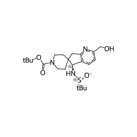 CC(C)(C)OC(=O)N1CCC2(CC1)Cc1nc(CO)ccc1[C@H]2N[S@+]([O-])C(C)(C)C